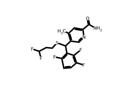 Cc1cc(C(N)=O)ncc1C(SCCC(F)F)c1c(F)ccc(F)c1F